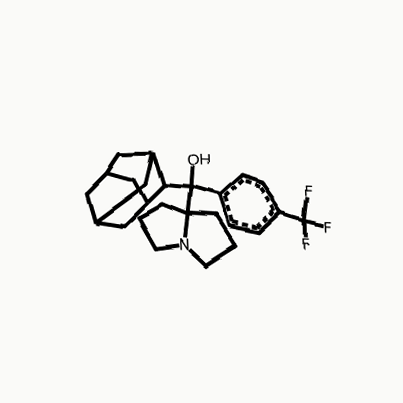 OC(c1ccc(C(F)(F)F)cc1)(C1C2CC3CC(C2)CC1C3)C12CCCN1CCC2